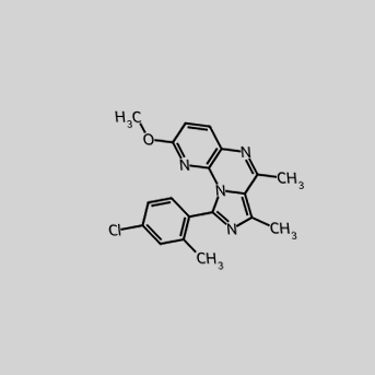 COc1ccc2nc(C)c3c(C)nc(-c4ccc(Cl)cc4C)n3c2n1